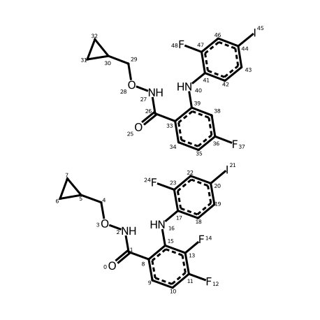 O=C(NOCC1CC1)c1ccc(F)c(F)c1Nc1ccc(I)cc1F.O=C(NOCC1CC1)c1ccc(F)cc1Nc1ccc(I)cc1F